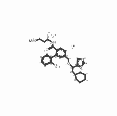 CSCC[C@H](NC(=O)c1ccc(COC(CC2CCCCC2)c2cncs2)cc1-c1ccccc1C)C(=O)O.[LiH]